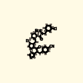 CCC1CCN(C(=O)C(Cc2ccc(C#N)cc2)c2cnc[nH]2)C1CN1CC[C@H](CC)[C@H]1C(=O)N(C)Cc1cccc(Cl)c1